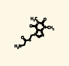 Cn1c(=O)c2c(ncn2CSC(=O)CN)n(C)c1=O